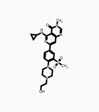 Cn1cnc2cc(-c3ccc(N4CCN(CCO)CC4)c(S(C)(=O)=O)c3)nc(NC3CC3)c2c1=O